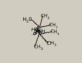 CCCCCCCCCCCCc1cc(Nc2nc(Nc3cc(CCCCCCCCCCCC)c(CCCCCCCCCCCC)c(CCCCCCCCCCCC)c3)nc(-c3cc[c]cc3)n2)cc(CCCCCCCCCCCC)c1CCCCCCCCCCCC